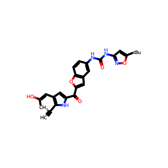 C#Cc1[nH]c(C(=O)c2cc3cc(NC(=O)Nc4cc(C(C)(C)C)on4)ccc3o2)cc1/C=C(\C)O